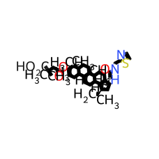 C=C(C)[C@@H]1CC[C@]2(CC(=O)NCc3nccs3)CC[C@]3(C)[C@H](CC[C@@H]4[C@@]5(C)CC[C@H](OC(=O)CC(C)(C)C(=O)O)C(C)(C)[C@@H]5CC[C@]43C)[C@@H]12